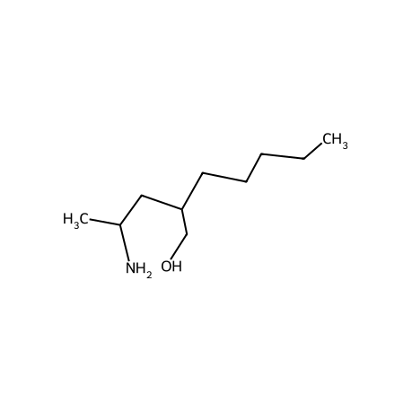 CCCCCC(CO)CC(C)N